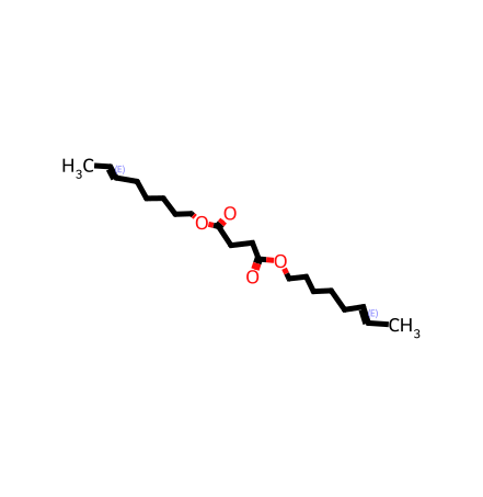 C/C=C/CCCCCOC(=O)CCC(=O)OCCCCC/C=C/C